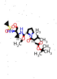 C=C[C@@H]1C[C@]1(NC(=O)[C@@H]1CCCN1C(=O)[C@@H](CC(=O)OC(C)(C)C)C(C)C)C(C=O)NS(=O)(=O)C1CC1